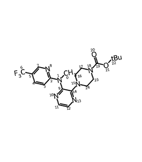 CN(c1ccc(C(F)(F)F)cn1)c1nccnc1N1CCN(C(=O)OC(C)(C)C)CC1